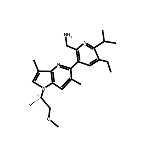 CCc1cc(-c2nc3c(C)cn([C@@H](C)COC)c3cc2C)c(CN)nc1C(C)C